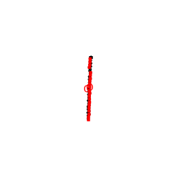 CCCCCCCCC=CCCCCCCCCCCCC(=O)OCCCCCCCCCCCCCCCCCCCC(C)C